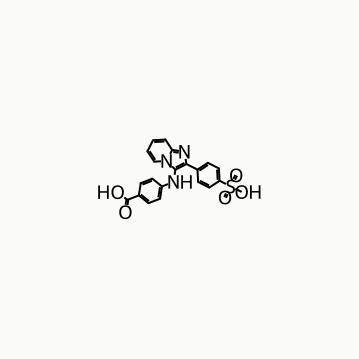 O=C(O)c1ccc(Nc2c(-c3ccc(S(=O)(=O)O)cc3)nc3ccccn23)cc1